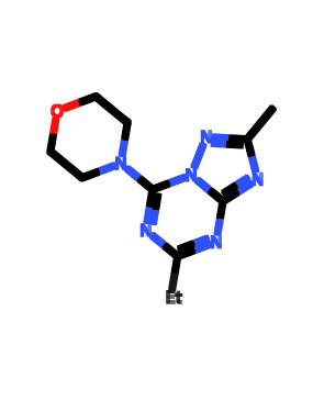 CCc1nc(N2CCOCC2)n2nc(C)nc2n1